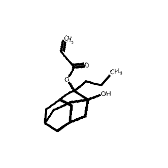 C=CC(=O)OC1(CCC)C2CC3CC(C2)CC1(O)C3